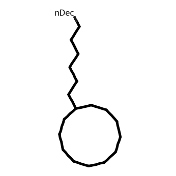 CCCCCCCCCCCCCCCCC1CCCCCCCCCCC1